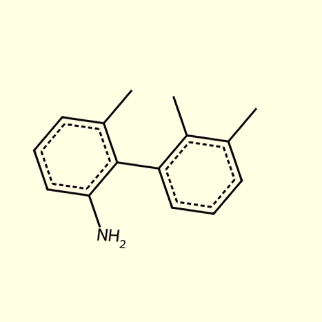 Cc1cccc(-c2c(C)cccc2N)c1C